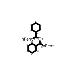 CCCCCC(OC(CCCCC)C1CCCCC1)C1CCCCC1